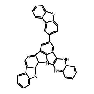 C1=CC2=Nc3c(c4cc(-c5ccc6sc7ccccc7c6c5)cc5c4n3C3C5=CC=C4c5ccccc5SC43)NC2C=C1